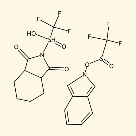 O=C1C2CCCCC2C(=O)N1[SH](=O)(O)C(F)(F)F.O=S(On1cc2ccccc2c1)C(F)(F)F